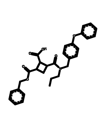 CCCN(Cc1ccc(Oc2ccccc2)cc1)C(=O)C1CC(C(=O)OCc2ccccc2)C1C(=O)O